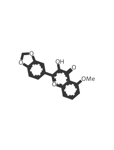 COc1cccc2oc(-c3ccc4c(c3)OCO4)c(O)c(=O)c12